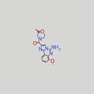 COc1cccc2c1nc(N)n1cc(C(=O)N3CCO[C@H](C)C3)nc21